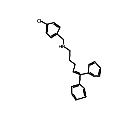 Clc1ccc(CNCCCC=C(c2ccccc2)c2ccccc2)cc1